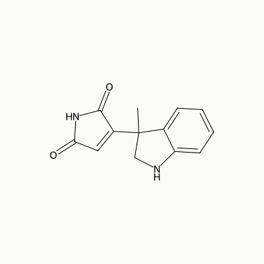 CC1(C2=CC(=O)NC2=O)CNc2ccccc21